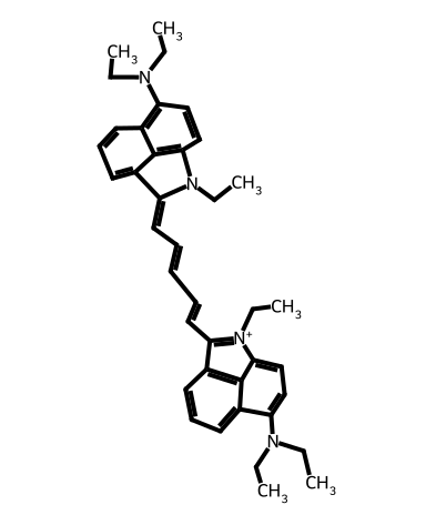 CCN(CC)c1ccc2c3c(cccc13)C(/C=C/C=C/C=c1/c3cccc4c(N(CC)CC)ccc(c43)n1CC)=[N+]2CC